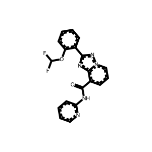 O=C(Nc1ccccn1)c1cccn2nc(-c3ccccc3OC(F)F)nc12